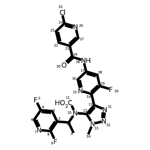 CC(c1cc(F)cnc1F)N(C(=O)O)c1c(-c2ncc(NC(=O)c3ccc(Cl)nc3)cc2F)nnn1C